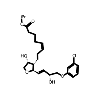 CC(C)OC(=O)CCC/C=C\CC[C@H]1[C@@H](O)CO[C@@H]1/C=C/[C@@H](O)COc1cccc(Cl)c1